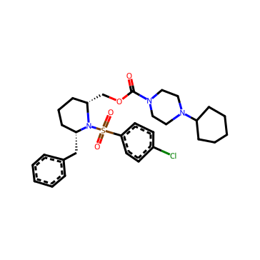 O=C(OC[C@H]1CCC[C@@H](Cc2ccccc2)N1S(=O)(=O)c1ccc(Cl)cc1)N1CCN(C2CCCCC2)CC1